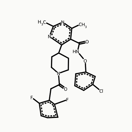 Cc1nc(C)c(C(=O)NOc2cccc(Cl)c2)c(C2CCN(C(=O)Cc3c(F)cccc3F)CC2)n1